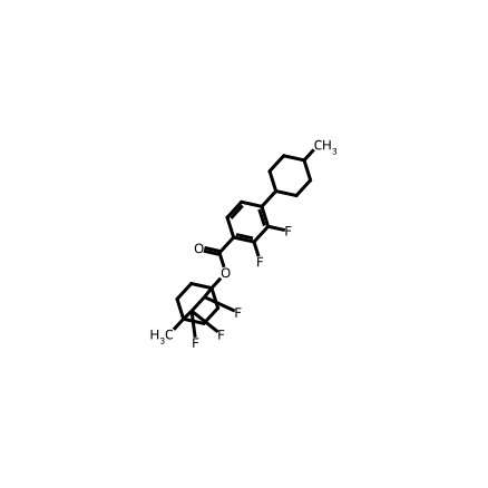 CC1CCC(c2ccc(C(=O)OC34CCC(C)(CC3)C(F)(F)C4F)c(F)c2F)CC1